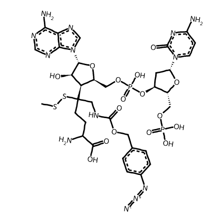 CSSC(CCC(N)C(=O)O)(CNC(=O)OCc1ccc(N=[N+]=[N-])cc1)[C@H]1[C@@H](O)[C@H](n2cnc3c(N)ncnc32)O[C@H]1COP(=O)(O)O[C@H]1C[C@H](n2ccc(N)nc2=O)O[C@@H]1COP(=O)(O)O